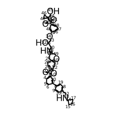 O=S(=O)(c1cccc(-c2ccc(CNC3CCC3)cc2)c1)N1CCC2(CC1)C[C@@H](NCC(O)COc1cccc(S(=O)(=O)C3(CO)CC3)c1)CO2